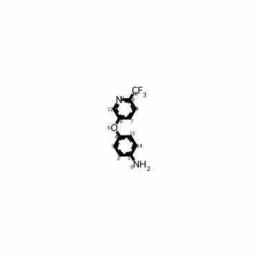 Nc1ccc(Oc2ccc(C(F)(F)F)nc2)cc1